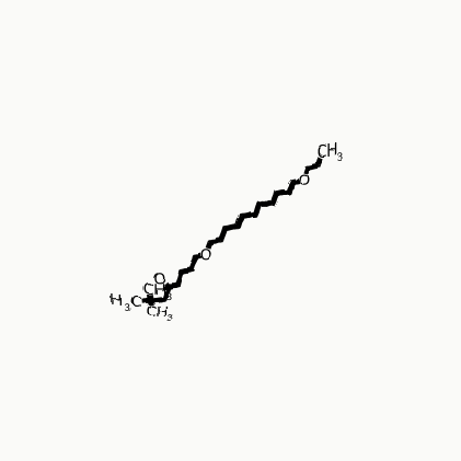 CCCOCCCCCCCCCCCOCCCCC(=O)CC(C)(C)C